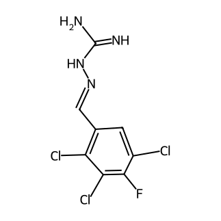 N=C(N)N/N=C/c1cc(Cl)c(F)c(Cl)c1Cl